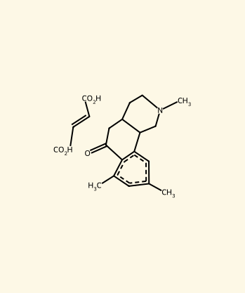 Cc1cc(C)c2c(c1)C1CN(C)CCC1CC2=O.O=C(O)C=CC(=O)O